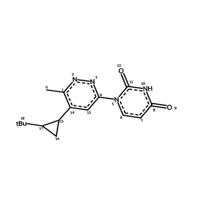 Cc1nnc(-n2ccc(=O)[nH]c2=O)cc1C1CC1C(C)(C)C